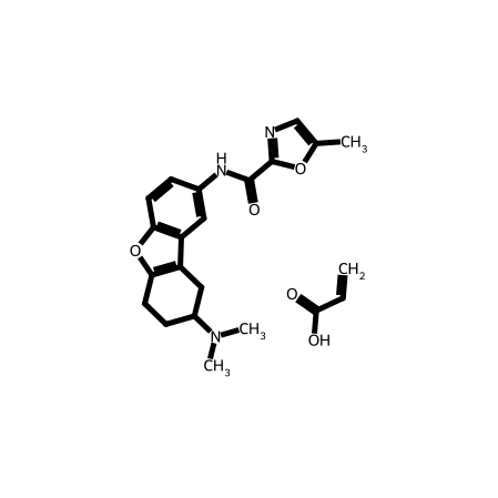 C=CC(=O)O.Cc1cnc(C(=O)Nc2ccc3oc4c(c3c2)CC(N(C)C)CC4)o1